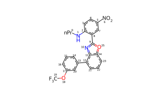 CCCNc1ccc([N+](=O)[O-])cc1-c1nc2c(-c3cccc(OC(F)(F)F)c3)cccc2o1